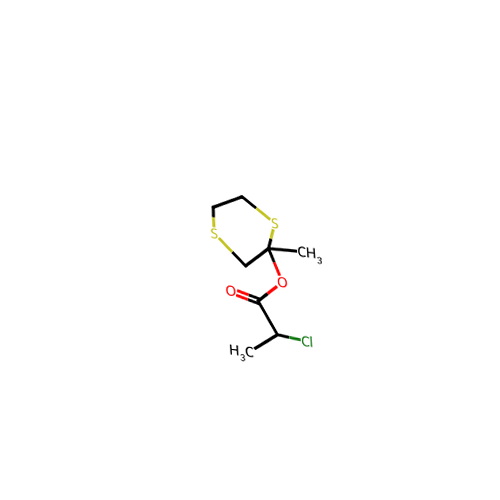 CC(Cl)C(=O)OC1(C)CSCCS1